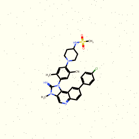 Cc1cc(N2CCC(NS(C)(=O)=O)CC2)c(C#N)cc1-n1c(=N)n(C)c2cnc3ccc(-c4ccc(Cl)cc4)cc3c21